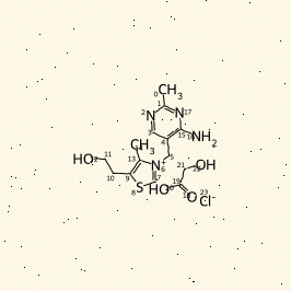 Cc1ncc(C[n+]2csc(CCO)c2C)c(N)n1.O=C(O)CO.[Cl-]